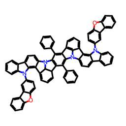 C1=CC2c3c(c(-c4ccccc4)c4c5cccc6c7c8c(ccc7n(c4c3-c3ccccc3)c56)c3ccccc3n8-c3ccc4oc5ccccc5c4c3)N3c4ccc5c6ccccc6n(-c6ccc7oc8ccccc8c7c6)c5c4C(=C1)C23